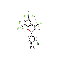 Cc1ccc(C(=O)/C=C(\c2cc(C(F)(F)F)cc(C(F)(F)F)c2)C(F)(F)F)cc1Cl